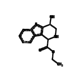 CCOC(=O)C1NCC(O)c2sc3ccccc3c21